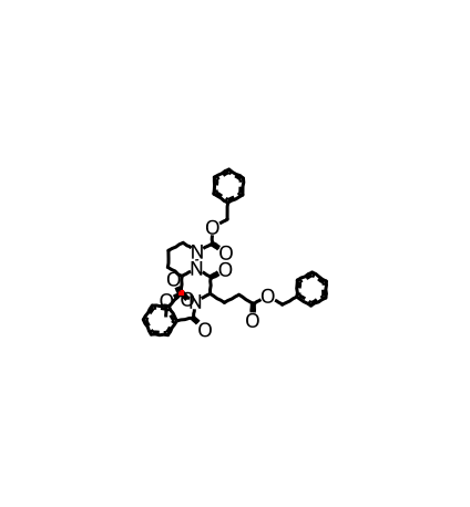 COC(=O)C1CCCN(C(=O)OCc2ccccc2)N1C(=O)C(CCC(=O)OCc1ccccc1)N1C(=O)c2ccccc2C1=O